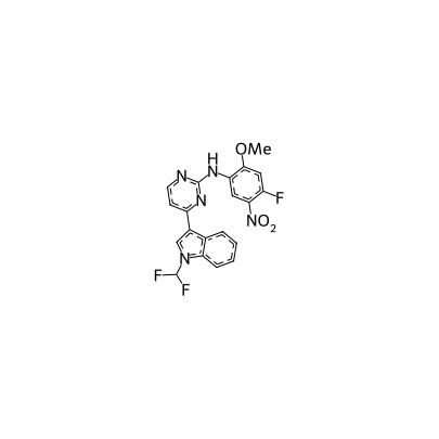 COc1cc(F)c([N+](=O)[O-])cc1Nc1nccc(-c2cn(C(F)F)c3ccccc23)n1